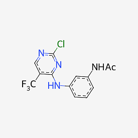 CC(=O)Nc1cccc(Nc2nc(Cl)ncc2C(F)(F)F)c1